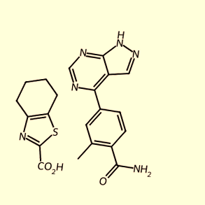 Cc1cc(-c2ncnc3[nH]ncc23)ccc1C(N)=O.O=C(O)c1nc2c(s1)CCCC2